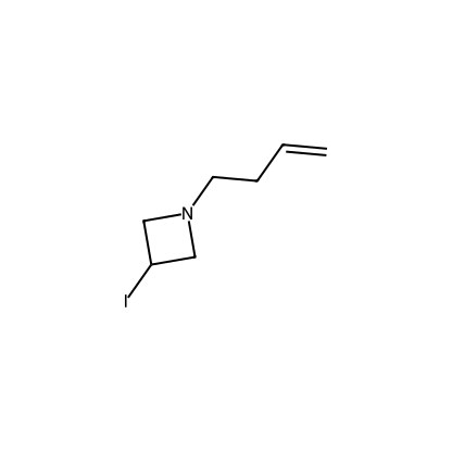 C=CCCN1CC(I)C1